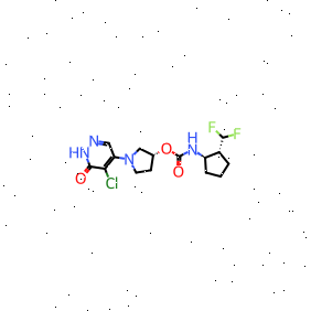 O=C(N[C@@H]1CCC[C@H]1C(F)F)O[C@@H]1CCN(c2cn[nH]c(=O)c2Cl)C1